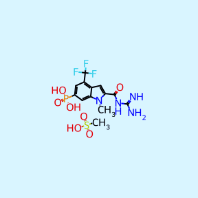 CS(=O)(=O)O.Cn1c(C(=O)NC(=N)N)cc2c(C(F)(F)F)cc(P(=O)(O)O)cc21